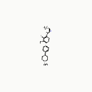 C/C=C\Oc1ccc(-c2ccc(C3CCC(CCC)CC3)cc2)c(F)c1F